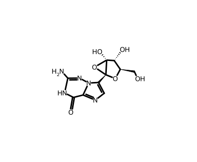 Nc1nn2c([C@]34O[C@H](CO)[C@@H](O)[C@]3(O)O4)cnc2c(=O)[nH]1